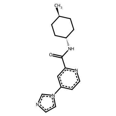 C[C@H]1CC[C@H](NC(=O)c2cc(-n3ccnc3)ccn2)CC1